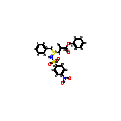 CC(CS(Cc1ccccc1)=NS(=O)(=O)c1ccc([N+](=O)[O-])cc1)C(=O)Oc1ccccc1